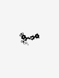 CC(=O)N1CC(CCN2CCC(c3ccccc3)CC2)c2cc3c(cc21)OCO3